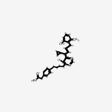 CCCCC(=O)Cc1ccc(CCCCc2ncnc(C(CCCc3c(C)cccc3Cl)C3CC3)c2F)cc1